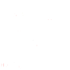 CCCOc1cc([S+]([O-])CC)c2oc3ccc(C(=O)O)cc3c(=O)c2c1